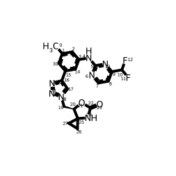 Cc1cc(Nc2nccc(C(F)F)n2)cc(-c2cn(C[C@H]3OC(=O)NC34CC4)nn2)c1